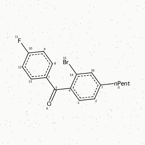 CCCCCc1ccc(C(=O)c2ccc(F)cc2)c(Br)c1